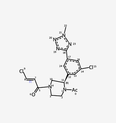 CC(=O)N1CCN(C(=O)/C=C/Cl)C[C@H]1c1cc(Cl)cc(-c2nnn(C)n2)c1